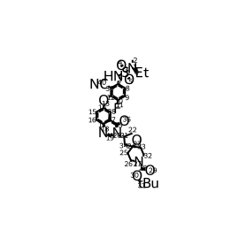 CCN(C)S(=O)(=O)Nc1ccc(F)c(Oc2ccc3ncn([C@@H]4COC5(CCN(C(=O)OC(C)(C)C)CC5)C4)c(=O)c3c2)c1C#N